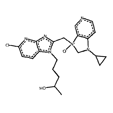 CC(O)CCCn1c(C[N+]2([O-])CN(C3CC3)c3ccncc32)nc2nc(Cl)ccc21